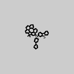 CC1(C)c2cc(N(c3ccc(-c4ccccc4)cc3)c3ccc4c(c3)sc3ccccc34)c3cccc4c3c2-c2c1ccc1ccc3cccc-4c3c21